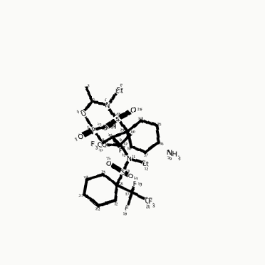 CCN(C(C)OP(=O)(O)OC(C)N(CC)S(=O)(=O)C1(C(F)(F)C(F)(F)F)CCCCC1)S(=O)(=O)C1(C(F)(F)C(F)(F)F)CCCCC1.N